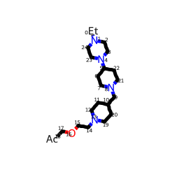 CCN1CCN(C2CCN(CC3CCN(CCOCC(C)=O)CC3)CC2)CC1